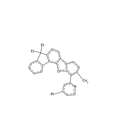 CCC1(CC)c2ccccc2-c2c1ccc1c2oc2c(-c3cc(C(C)C)ccn3)c(C)ccc21